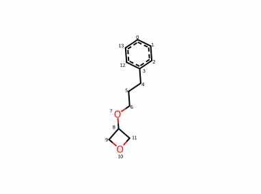 c1ccc(CCCOC2COC2)cc1